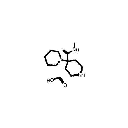 CNC(=O)C1(N2CCCCC2)CCNCC1.O=CO